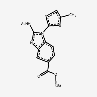 CC(=O)Nc1nc2cc(C(=O)OC(C)(C)C)ccc2n1-c1ncc(C)s1